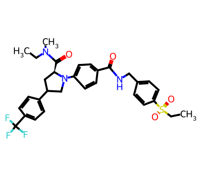 CCN(C)C(=O)[C@@H]1CC(c2ccc(C(F)(F)F)cc2)CN1c1ccc(C(=O)NCc2ccc(S(=O)(=O)CC)cc2)cc1